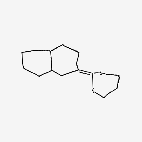 C1CSC(=C2CCC3CCCCC3C2)SC1